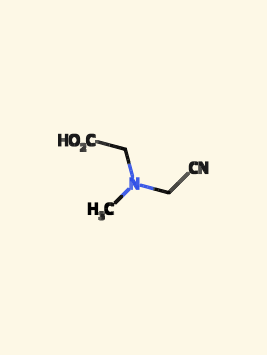 CN(CC#N)CC(=O)O